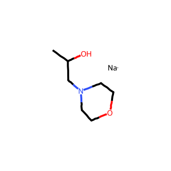 CC(O)CN1CCOCC1.[Na]